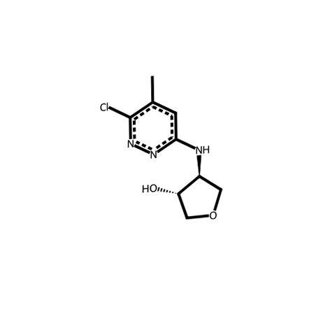 Cc1cc(N[C@H]2COC[C@@H]2O)nnc1Cl